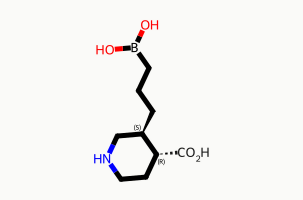 O=C(O)[C@@H]1CCNC[C@H]1CCCB(O)O